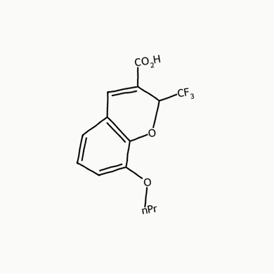 CCCOc1cccc2c1OC(C(F)(F)F)C(C(=O)O)=C2